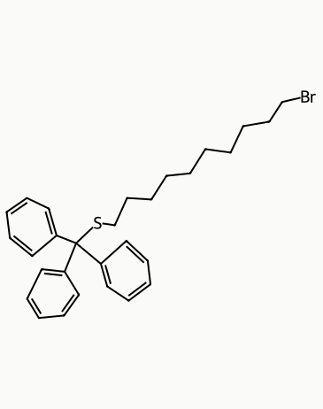 BrCCCCCCCCCCSC(c1ccccc1)(c1ccccc1)c1ccccc1